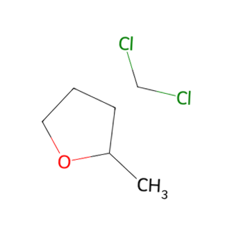 CC1CCCO1.ClCCl